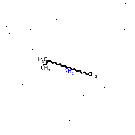 CCCCCCCCCC(N)CCCCCCCC(C)CCC